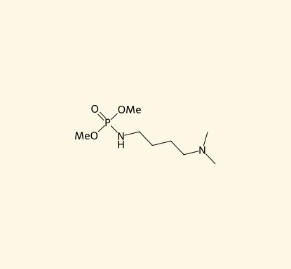 COP(=O)(NCCCCN(C)C)OC